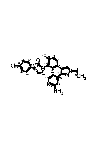 CCn1cc(-c2ccc(F)c(N3CCN(c4ccc(Cl)cc4)C3=O)c2)c(-c2ccnc(N)n2)n1